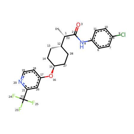 C[C@H](C(=O)Nc1ccc(Cl)cc1)[C@H]1CC[C@H](Oc2ccnc(C(F)(F)F)c2)CC1